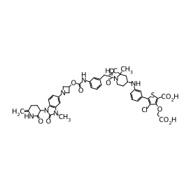 C=C1CCC(n2c(=O)n(C)c3cc(N4CC(OC(=O)Nc5cccc(CS(=O)(=O)N6CC[C@H](Nc7cccc(-c8sc(C(=O)O)c(OCC(=O)O)c8Cl)c7)CC6(C)C)c5)C4)ccc32)C(=O)N1